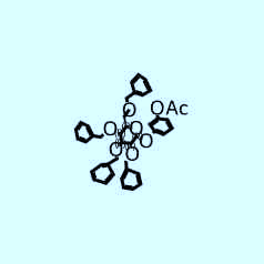 CC(=O)Oc1cccc(O[C@H]2O[C@H](COCc3ccccc3)[C@@H](OCc3ccccc3)[C@@H](OCc3ccccc3)[C@H]2OCc2ccccc2)c1